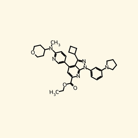 CCOC(=O)c1cc(-c2ccc(N(C)C3CCOCC3)nc2)c2c(C3CCC3)nn(-c3cccc(N4CCCC4)c3)c2n1